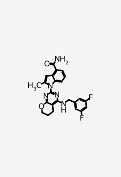 Cc1cc2c(C(N)=O)cccc2n1-c1nc(NCc2cc(F)cc(F)c2)c2c(n1)OCCC2